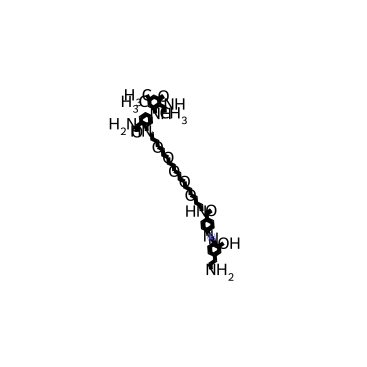 CC(=N)C1=C(Nc2ccc(C(N)=O)c(NCCCOCCOCCOCCOCCOCCCNC(=O)c3ccc(/N=N/c4ccc(CCN)cc4O)cc3)c2)CC(C)(C)CC1=O